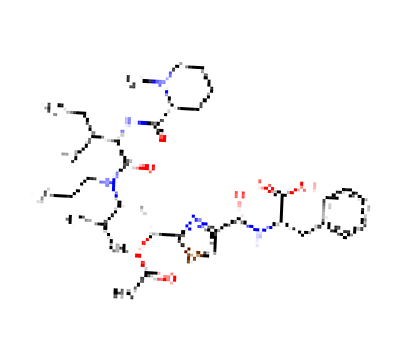 CCCN(C(=O)[C@@H](NC(=O)[C@H]1CCCCN1C)C(C)CC)[C@H](C[C@@H](OC(C)=O)c1nc(C(=O)N[C@@H](Cc2ccccc2)C(=O)O)cs1)C(C)C